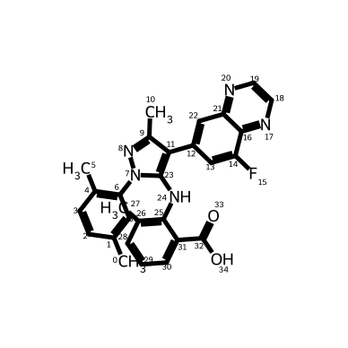 Cc1ccc(C)c(-n2nc(C)c(-c3cc(F)c4nccnc4c3)c2Nc2c(C)cccc2C(=O)O)c1